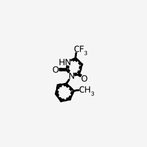 Cc1ccccc1-n1c(=O)cc(C(F)(F)F)[nH]c1=O